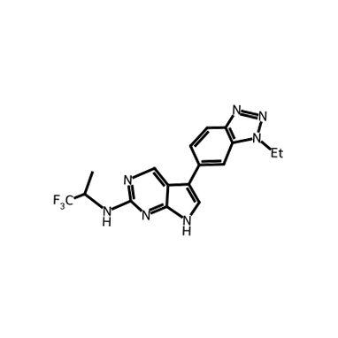 CCn1nnc2ccc(-c3c[nH]c4nc(NC(C)C(F)(F)F)ncc34)cc21